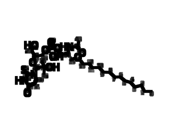 CCCCCCCCCCCCCCOC[C@H](COP(=O)(O)OC[C@H](CO)O[C@@H](n1ccc(=O)[nH]c1=S)C(C)(C)O)NC(C)=O